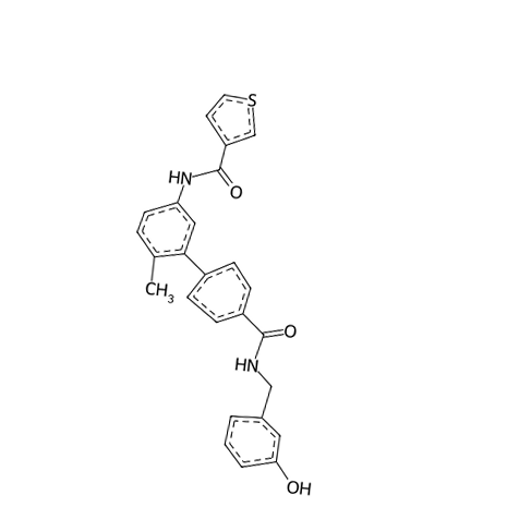 Cc1ccc(NC(=O)c2ccsc2)cc1-c1ccc(C(=O)NCc2cccc(O)c2)cc1